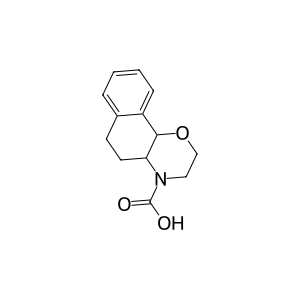 O=C(O)N1CCOC2c3ccccc3CCC21